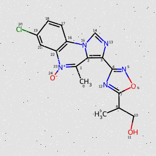 Cc1c2c(-c3noc(C(C)CO)n3)ncn2c2ccc(Cl)cc2[n+]1[O-]